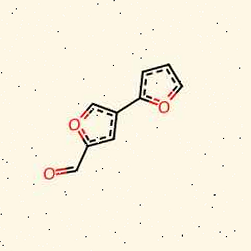 O=Cc1cc(-c2ccco2)co1